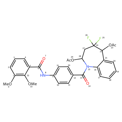 COc1cccc(C(=O)Nc2ccc(C(=O)N3c4ccccc4C(OC(C)=O)C(F)(F)CC3OC(C)=O)cc2)c1OC